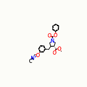 [C-]#[N+]COc1cccc(CC2CN(C(=O)Oc3ccccc3)C[C@@H]2C(=O)OC)c1